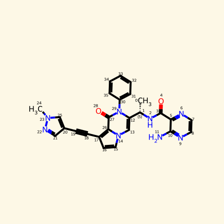 C[C@H](NC(=O)c1nccnc1N)c1cn2ccc(C#Cc3cnn(C)c3)c2c(=O)n1-c1ccccc1